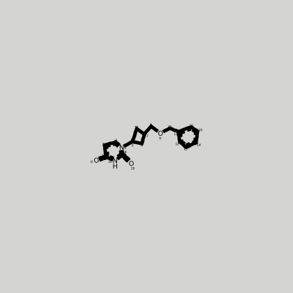 O=c1ccn(C2CC(COCc3ccccc3)C2)c(=O)[nH]1